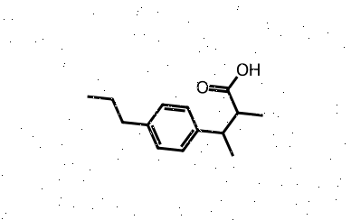 CCCc1ccc(C(C)C(C)C(=O)O)cc1